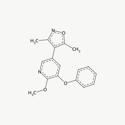 COc1ncc(-c2c(C)noc2C)cc1Oc1ccccc1